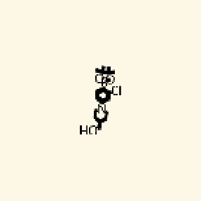 CC1(C)OB(c2ccc(N3CCC(CO)CC3)cc2Cl)OC1(C)C